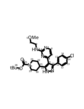 COCCNc1nccc(-c2c(-c3ccc(Cl)cc3)n[nH]c2C2CCN(C(=O)OC(C)(C)C)CC2)n1